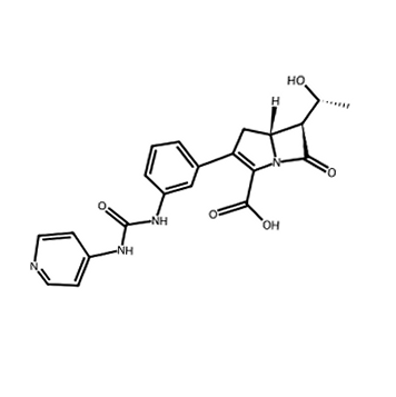 C[C@@H](O)[C@H]1C(=O)N2C(C(=O)O)=C(c3cccc(NC(=O)Nc4ccncc4)c3)C[C@H]12